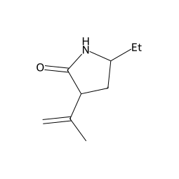 C=C(C)C1CC(CC)NC1=O